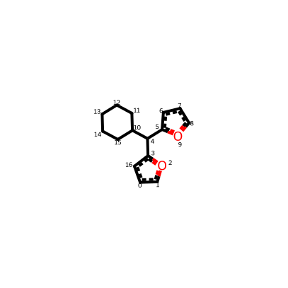 c1coc(C(c2ccco2)C2CCCCC2)c1